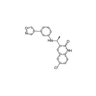 C[C@H](Nc1cccc(-c2cnoc2)c1)c1cc2cc(Cl)ccc2[nH]c1=O